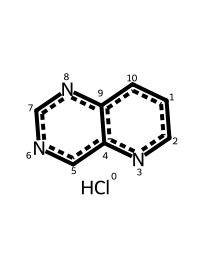 Cl.c1cnc2cncnc2c1